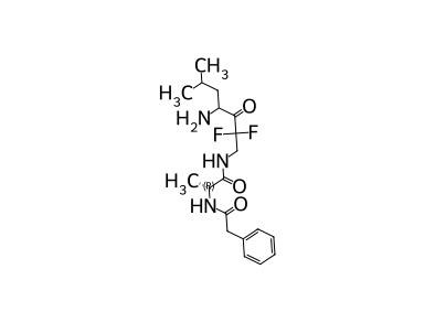 CC(C)CC(N)C(=O)C(F)(F)CNC(=O)[C@@H](C)NC(=O)Cc1ccccc1